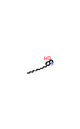 CCCCCCCCCCCCc1ccc2c(O)ccnc2c1